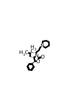 CC(C)C[C@H]1[C@H](c2ccccc2)OC(=O)N1CCCN1CCCCC1